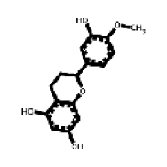 COc1ccc(C2CCc3c(O)cc(O)cc3O2)cc1O